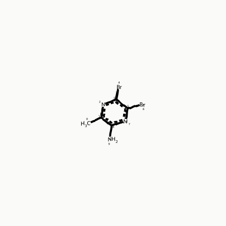 Cc1nc(Br)c(Br)nc1N